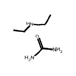 CCNCC.NC(N)=O